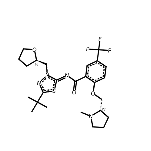 CN1CCC[C@H]1COc1ccc(C(F)(F)F)cc1C(=O)N=c1sc(C(C)(C)C)nn1C[C@H]1CCCO1